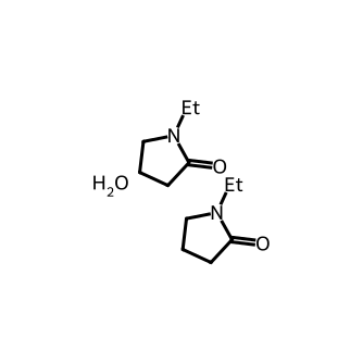 CCN1CCCC1=O.CCN1CCCC1=O.O